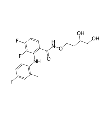 Cc1cc(I)ccc1Nc1c(C(=O)NOCCC(O)CO)ccc(F)c1F